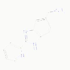 NCc1ccc2[nH]c(-c3ccccn3)nc2c1